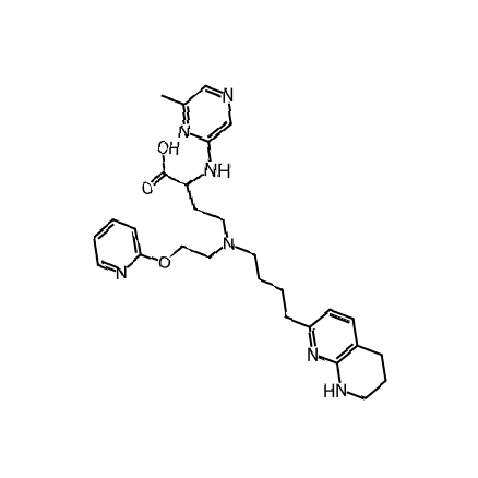 Cc1cncc(NC(CCN(CCCCc2ccc3c(n2)NCCC3)CCOc2ccccn2)C(=O)O)n1